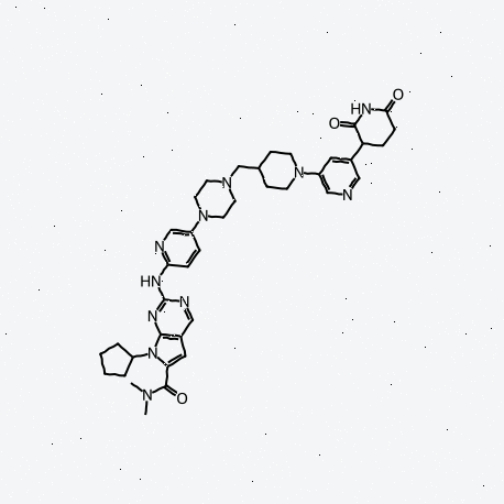 CN(C)C(=O)c1cc2cnc(Nc3ccc(N4CCN(CC5CCN(c6cncc(C7CCC(=O)NC7=O)c6)CC5)CC4)cn3)nc2n1C1CCCC1